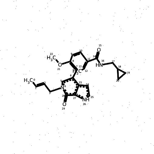 C/C=C/Cn1cc(/C=C(/C=C\C(=C/C)C(=O)NCC2CC2)OC)c2cc[nH]c2c1=O